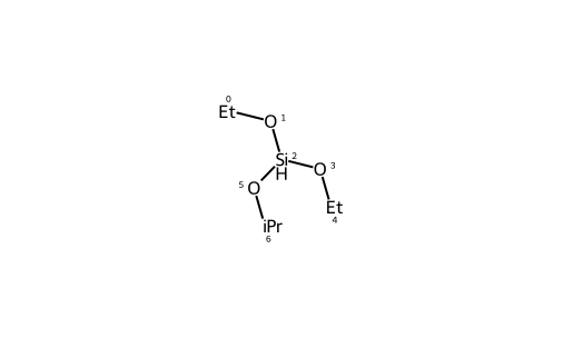 CCO[SiH](OCC)OC(C)C